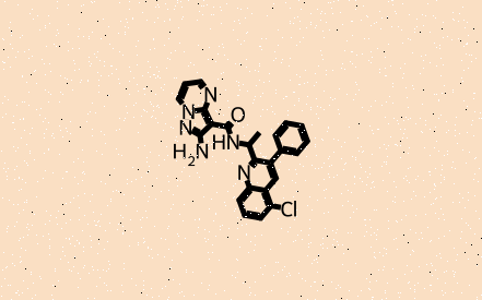 CC(NC(=O)c1c(N)nn2cccnc12)c1nc2cccc(Cl)c2cc1-c1ccccc1